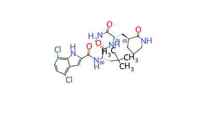 CC(C)(C)C[C@H](NC(=O)c1cc2c(Cl)ccc(Cl)c2[nH]1)C(=O)N[C@@H](C[C@@H]1CCCNC1=O)C(N)=O